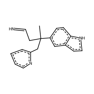 CC(CC=N)(Cc1ccccn1)c1ccc2[nH]ccc2c1